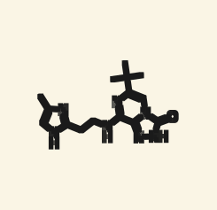 Cc1c[nH]c(CCNc2nc(C(C)(C)C)cn3c(=O)[nH]nc23)n1